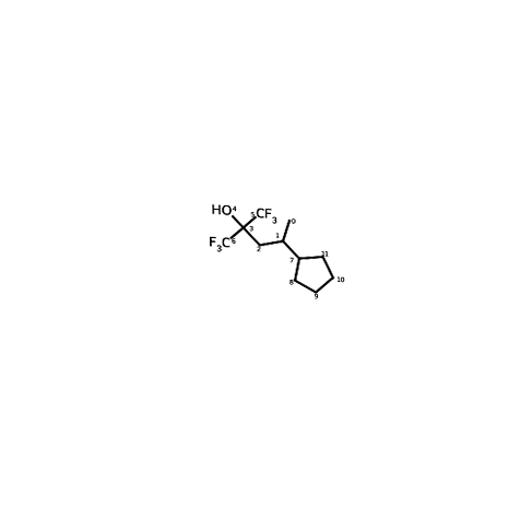 CC(CC(O)(C(F)(F)F)C(F)(F)F)C1CCCC1